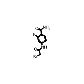 NC(=O)c1ccc(NC(=O)CBr)cc1F